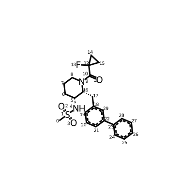 CS(=O)(=O)N[C@@H]1CCCN(C(=O)C2(F)CC2)[C@@H]1Cc1cccc(-c2ccccc2)c1